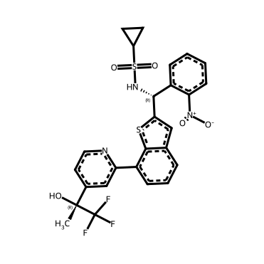 C[C@@](O)(c1ccnc(-c2cccc3cc([C@H](NS(=O)(=O)C4CC4)c4ccccc4[N+](=O)[O-])sc23)c1)C(F)(F)F